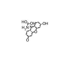 NP(O)O.O=c1ccc2nc3ccc(O)cc3oc-2c1